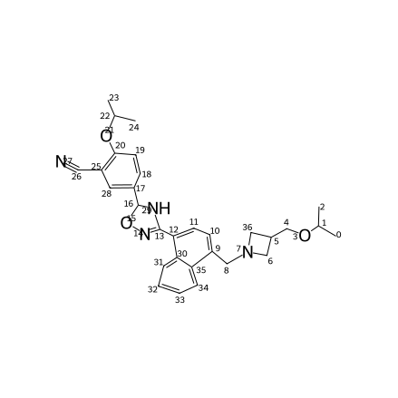 CC(C)OCC1CN(Cc2ccc(C3=NOC(c4ccc(OC(C)C)c(C#N)c4)N3)c3ccccc23)C1